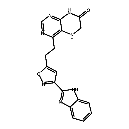 O=C1CNc2c(CCc3cc(-c4nc5ccccc5[nH]4)no3)ncnc2N1